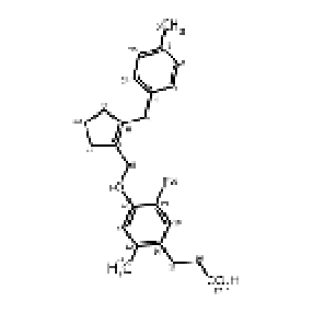 Cc1ccc(CC2=C(COc3cc(C)c(CCC(=O)O)cc3F)CCC2)cc1